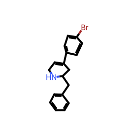 Brc1ccc(C2=CCNC(Cc3ccccc3)C2)cc1